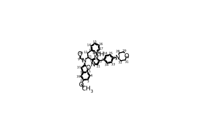 COc1ccc2oc(N(C=O)C(Cc3ccccn3)c3ncc(-c4ccc(N5CCOCC5)cc4)n3C)cc2c1